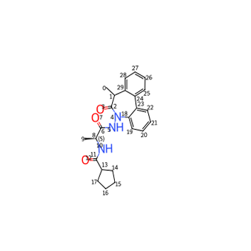 CC1C(=O)N(NC(=O)[C@H](C)NC(=O)C2CCCC2)c2ccccc2-c2ccccc21